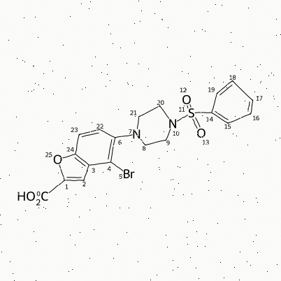 O=C(O)c1cc2c(Br)c(N3CCN(S(=O)(=O)c4ccccc4)CC3)ccc2o1